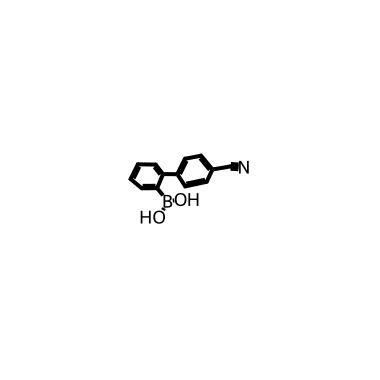 N#Cc1ccc(-c2ccccc2B(O)O)cc1